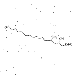 C=CCCCCCCCCC/C=C/[C@H](O)C[C@H](O)COC(C)=O